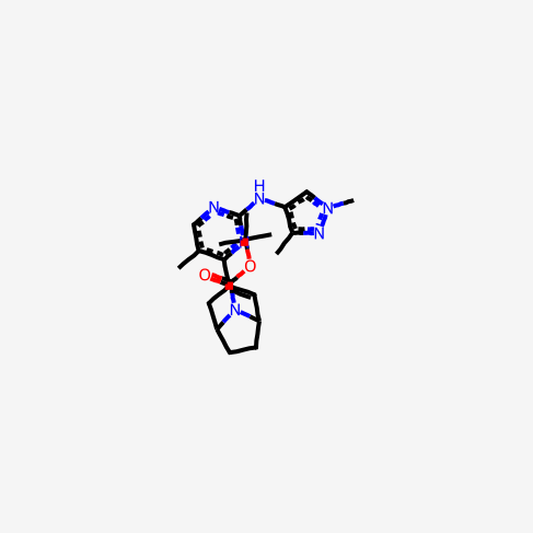 Cc1cnc(Nc2cn(C)nc2C)nc1C1=CC2CCC(C1)N2C(=O)OC(C)(C)C